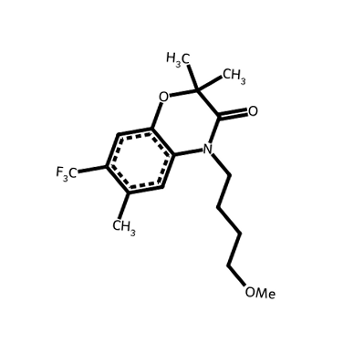 COCCCCN1C(=O)C(C)(C)Oc2cc(C(F)(F)F)c(C)cc21